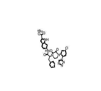 CC(C)(C)OC(=O)c1cc2ccc(NC(=O)C(Cc3ccccc3)N3CCN(c4cc(Cl)ccc4-n4cnnn4)C(=O)C3=O)cc2[nH]1